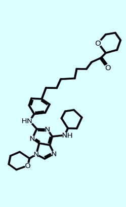 O=C(CCCCCCCc1ccc(Nc2nc(NC3CCCCC3)c3ncn(C4CCCCO4)c3n2)cc1)C1CCCCO1